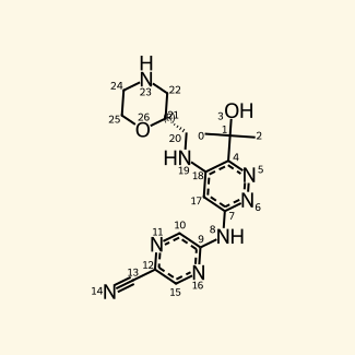 CC(C)(O)c1nnc(Nc2cnc(C#N)cn2)cc1NC[C@H]1CNCCO1